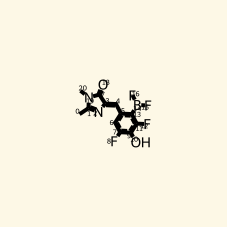 CC1=N/C(=C\c2cc(F)c(O)c(F)c2B(F)F)C(=O)N1C